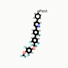 CCCCCC1CCC(c2ccc(-c3ccc(-c4cc(F)c(C(F)(F)Oc5cc(F)c(OC(F)F)c(F)c5)c(F)c4)c(F)c3)nc2)CC1